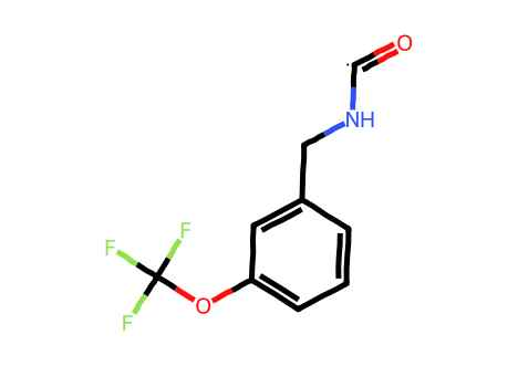 O=[C]NCc1cccc(OC(F)(F)F)c1